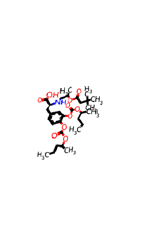 CCCC(C)OC(=O)Oc1ccc(C[C@H](NCC(C)OC(=O)CC(C)(C)C)C(=O)O)cc1OC(=O)OC(C)CCC